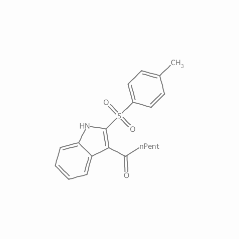 CCCCCC(=O)c1c(S(=O)(=O)c2ccc(C)cc2)[nH]c2ccccc12